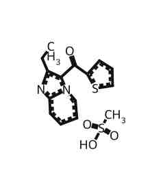 CCc1nc2ccccn2c1C(=O)c1cccs1.CS(=O)(=O)O